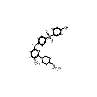 CCOC(=O)OC1CCN(c2nc(Oc3ccc(S(=O)(=O)c4ccc(O)cc4)cc3)ccc2[N+](=O)[O-])CC1